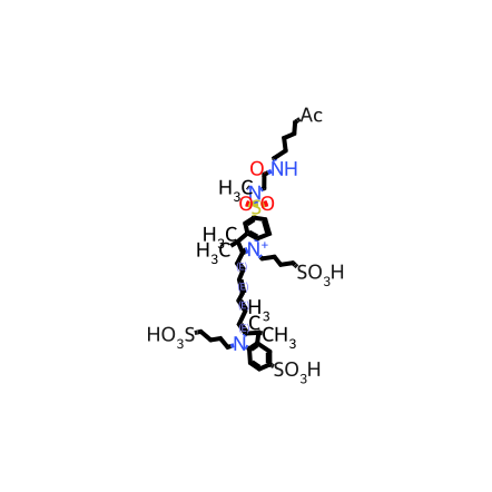 CC(=O)CCCCCNC(=O)CN(C)S(=O)(=O)c1ccc2c(c1)C(C)(C)C(/C=C/C=C/C=C/C=C1/N(CCCCS(=O)(=O)O)c3ccc(S(=O)(=O)O)cc3C1(C)C)=[N+]2CCCCS(=O)(=O)O